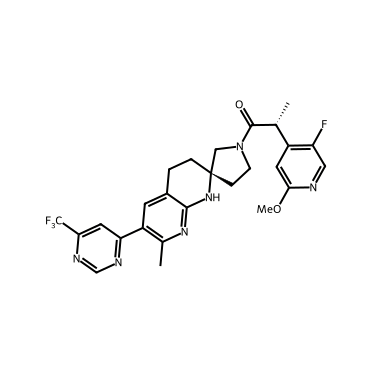 COc1cc([C@@H](C)C(=O)N2CC[C@@]3(CCc4cc(-c5cc(C(F)(F)F)ncn5)c(C)nc4N3)C2)c(F)cn1